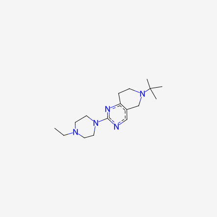 CCN1CCN(c2ncc3c(n2)CCN(C(C)(C)C)C3)CC1